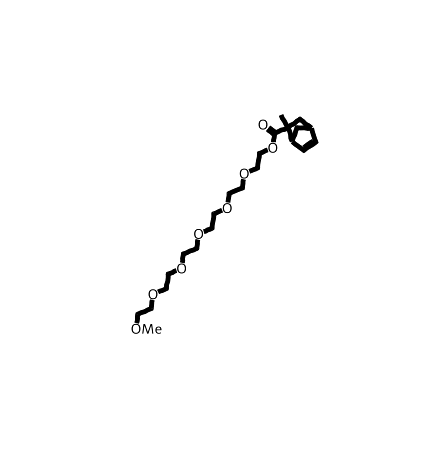 COCCOCCOCCOCCOCCOCCOC(=O)C1(C)CC2C=CC1C2